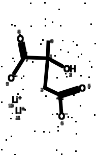 CC(O)(CC(=O)[O-])C(=O)[O-].[Li+].[Li+]